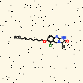 CCC1C(=O)NC2=Nc3ccc(OCCCCCCCCOC(C)=O)c(Cl)c3CN21